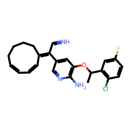 CC(Oc1cc(\C(C=N)=C2/C=C\C=C/CCCC2)cnc1N)c1cc(F)ccc1Cl